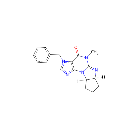 CN1C(=O)c2c(ncn2Cc2ccccc2)N2C1=N[C@H]1CCC[C@H]12